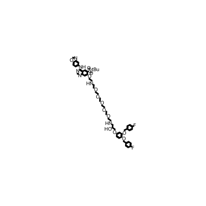 CC(C)(C)S(=O)(=O)c1cc2c(Nc3ccc4ocnc4c3)ncnc2cc1OCCNCCOCCOCCOCCOCCOCCNC[C@@H](O)COc1ccc(OCc2ccc(F)cc2)c(OCc2ccc(F)cc2)c1